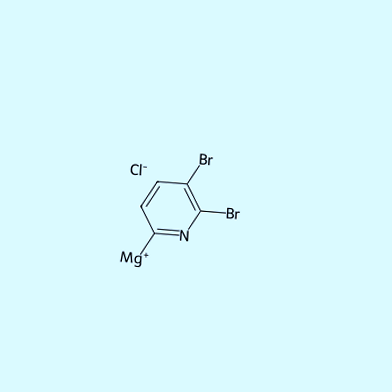 [Cl-].[Mg+][c]1ccc(Br)c(Br)n1